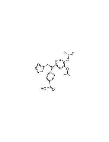 CC(C)Oc1cc(N(Cc2cnco2)c2ccc(C(=O)O)cc2)ccc1OC(F)F